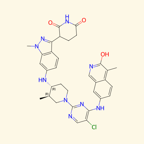 Cc1c(O)ncc2cc(Nc3nc(N4CC[C@@H](Nc5ccc6c(C7CCC(=O)NC7=O)nn(C)c6c5)[C@H](C)C4)ncc3Cl)ccc12